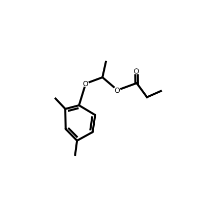 C[CH]C(=O)OC(C)Oc1ccc(C)cc1C